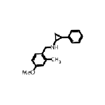 COc1ccc(CNC2CC2c2ccccc2)c(C)c1